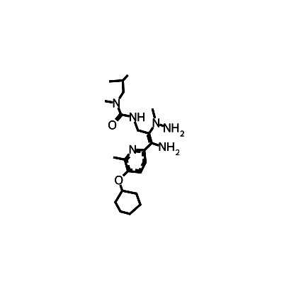 Cc1nc(/C(N)=C(\CNC(=O)N(C)CC(C)C)N(C)N)ccc1OC1CCCCC1